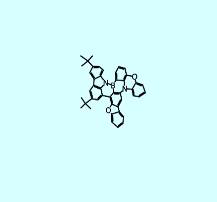 CC(C)(C)c1ccc2c(c1)c1cc(C(C)(C)C)cc3c1n2B1c2cccc4c2N(c2ccccc2O4)c2cc4c(oc5ccccc54)c-3c21